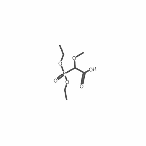 CCOP(=O)(OCC)C(OC)C(=O)O